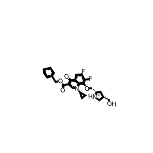 O=C(OCc1ccccc1)c1cn(C2CC2)c2c(OC[C@@H]3C[C@@H](CO)CN3)c(F)c(F)cc2c1=O